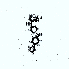 CCCCNC(=C[N+](=O)[O-])NC1CCN(C(=O)c2ccc(-n3ccnc3)cc2)CC1